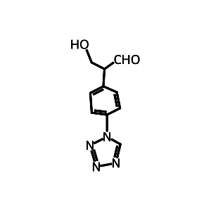 O=CC(CO)c1ccc(-n2cnnn2)cc1